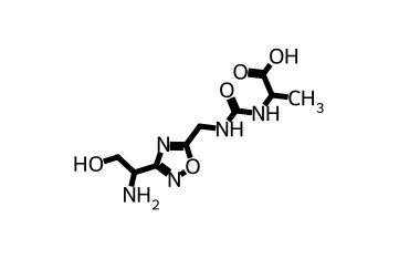 CC(NC(=O)NCc1nc(C(N)CO)no1)C(=O)O